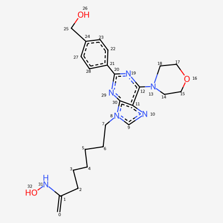 C=C(CCCCCCn1cnc2c(N3CCOCC3)nc(-c3ccc(CO)cc3)nc21)NO